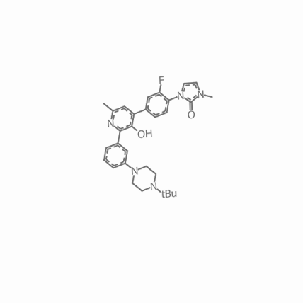 Cc1cc(-c2ccc(-n3ccn(C)c3=O)c(F)c2)c(O)c(-c2cccc(N3CCN(C(C)(C)C)CC3)c2)n1